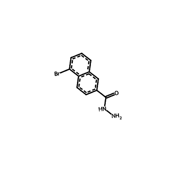 NNC(=O)c1ccc2c(Br)cccc2c1